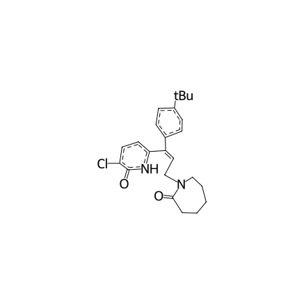 CC(C)(C)c1ccc(C(=CCN2CCCCCC2=O)c2ccc(Cl)c(=O)[nH]2)cc1